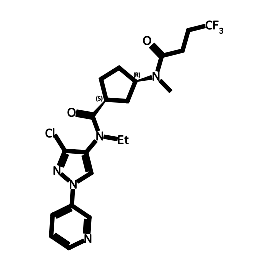 CCN(C(=O)[C@H]1CC[C@@H](N(C)C(=O)CCC(F)(F)F)C1)c1cn(-c2cccnc2)nc1Cl